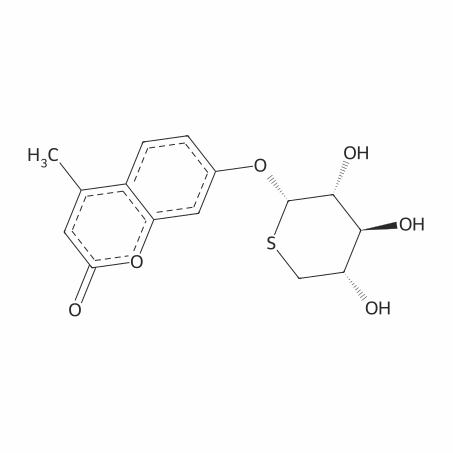 Cc1cc(=O)oc2cc(O[C@H]3SC[C@@H](O)[C@H](O)[C@H]3O)ccc12